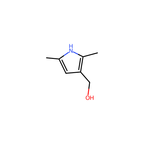 Cc1cc(CO)c(C)[nH]1